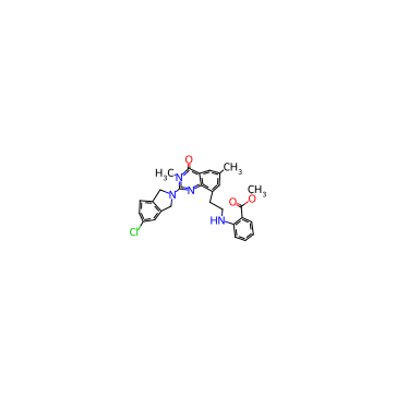 COC(=O)c1ccccc1NCCc1cc(C)cc2c(=O)n(C)c(N3Cc4ccc(Cl)cc4C3)nc12